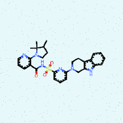 CC1CCN(c2ncccc2C(=O)NS(=O)(=O)c2cccc(N3CCc4c([nH]c5ccccc45)C3)n2)C1(C)C